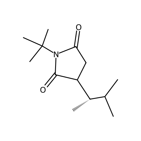 CC(C)[C@H](C)C1CC(=O)N(C(C)(C)C)C1=O